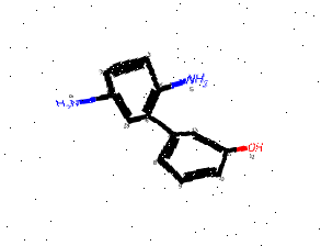 Nc1ccc(N)c(-c2cccc(O)c2)c1